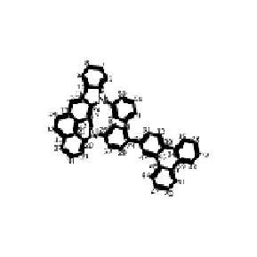 c1ccc(-n2c3ccccc3c3cc4ccc5cccc6c5c4c(c32)n6-c2ccc(-c3ccc4c5ccccc5c5ccccc5c4c3)cc2)cc1